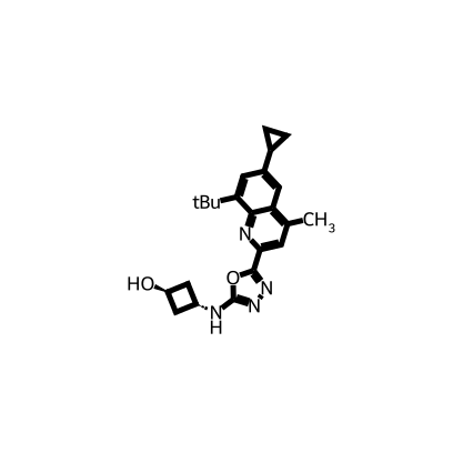 Cc1cc(-c2nnc(N[C@H]3C[C@H](O)C3)o2)nc2c(C(C)(C)C)cc(C3CC3)cc12